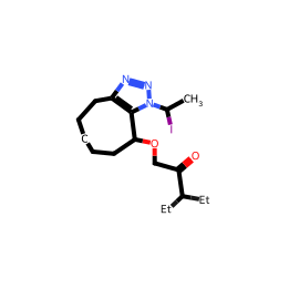 CCC(CC)C(=O)COC1CCCCCc2nnn(C(C)I)c21